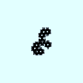 c1ccc(-c2nc(-c3ccc4ccc5ccccc5c4c3)nc(-c3ccc4ccc5ncc6ccccc6c5c4c3)n2)cc1